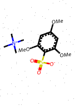 COc1cc(OC)c(S(=O)(=O)[O-])c(OC)c1.C[N+](C)(C)C